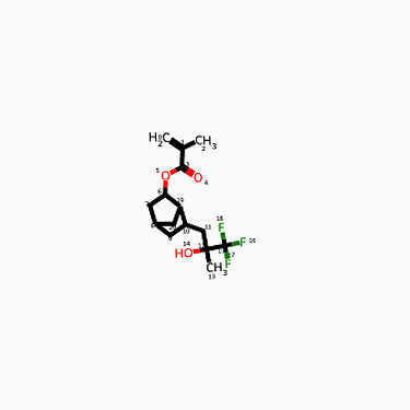 C=C(C)C(=O)OC1CC2CC(CC(C)(O)C(F)(F)F)C1C2